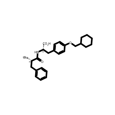 CC(C)(C)[C@@H](Cc1ccccc1)C(=O)N[C@@H](Cc1ccc(OCC2CCCCC2)cc1)C(=O)O